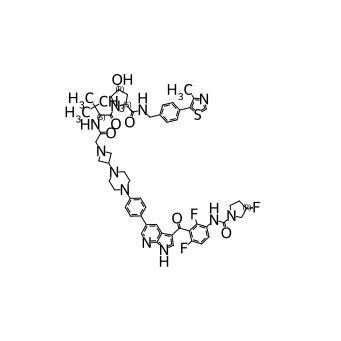 Cc1ncsc1-c1ccc(CNC(=O)[C@@H]2C[C@@H](O)CN2C(=O)[C@@H](NC(=O)CN2CC(N3CCN(c4ccc(-c5cnc6[nH]cc(C(=O)c7c(F)ccc(NC(=O)N8CC[C@@H](F)C8)c7F)c6c5)cc4)CC3)C2)C(C)(C)C)cc1